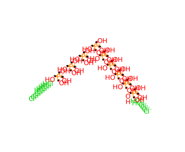 Cl.Cl.Cl.Cl.Cl.Cl.Cl.OC[P+](CO)(CO)CO.OC[P+](CO)(CO)CO.OC[P+](CO)(CO)CO.OC[P+](CO)(CO)CO.OC[P+](CO)(CO)CO.OC[P+](CO)(CO)CO.OC[P+](CO)(CO)CO.OC[P+](CO)(CO)CO.OC[P+](CO)(CO)CO.[Cl-].[Cl-].[Cl-].[Cl-].[Cl-].[Cl-].[Cl-].[Cl-].[Cl-]